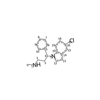 CNCCC(c1ccccc1)n1ccc2cc(Cl)ccc21